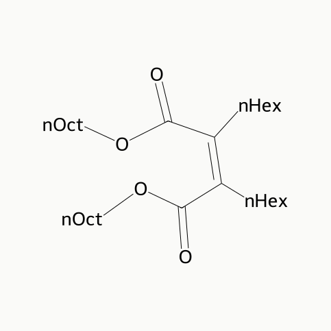 CCCCCCCCOC(=O)C(CCCCCC)=C(CCCCCC)C(=O)OCCCCCCCC